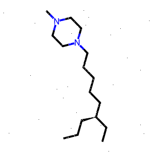 CCC[C@H](CC)CCCCCN1CCN(C)CC1